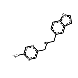 Cc1cnc(CNCc2ccc3occc3c2)cn1